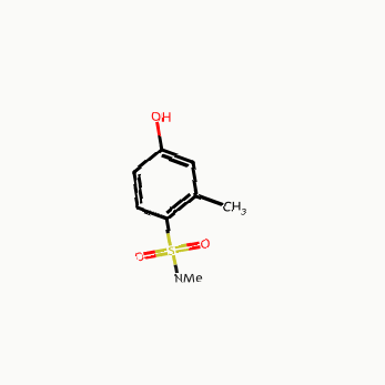 CNS(=O)(=O)c1ccc(O)cc1C